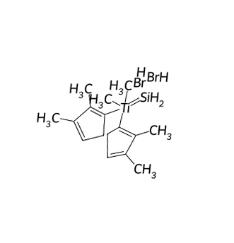 Br.Br.CC1=CC[C]([Ti]([CH3])([CH3])(=[SiH2])[C]2=C(C)C(C)=CC2)=C1C